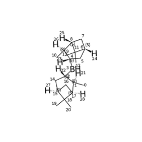 C[C@@H]1[C@@H](B[C@H]2C[C@H]3C[C@@H]([C@@H]2C)C3(C)C)C[C@H]2C[C@@H]1C2(C)C